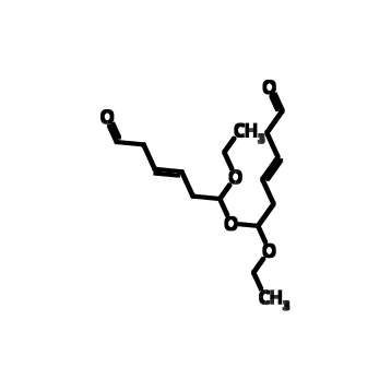 CCOC(CC=CCC=O)OC(CC=CCC=O)OCC